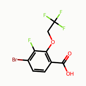 O=C(O)c1ccc(Br)c(F)c1OCC(F)(F)F